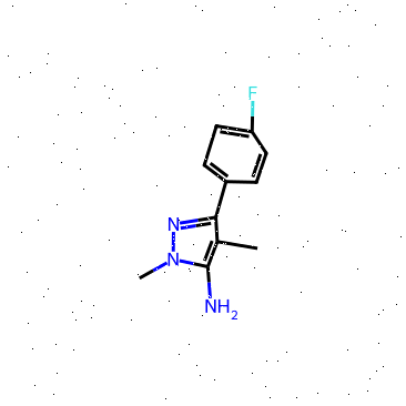 Cc1c(-c2ccc(F)cc2)nn(C)c1N